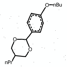 CCCCOc1ccc(C2OCC(CCC)CO2)cc1